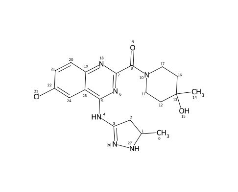 CC1CC(Nc2nc(C(=O)N3CCC(C)(O)CC3)nc3ccc(Cl)cc23)=NN1